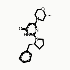 C[C@@H]1CN(c2cc(=O)[nH]c(N3CCC[C@H]3Cc3ccccc3)n2)CCO1